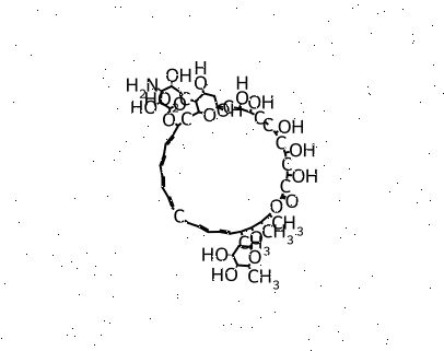 CC1/C=C/C=C/CC/C=C/C=C/C=C/C=C/C(OC2OC[C@@H](O)[C@H](N)[C@@H]2O)CC2OC(O)(CC(O)C(O)CCC(O)CC(O)CC(O)CC(=O)OC(C)C(C)C1OC1C[C@@H](O)[C@@H](O)[C@H](C)O1)CC(O)C2C(=O)O